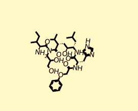 CCC(C)[C@H](N)C(=O)N(CC(O)CO)C(=O)[C@@H](C[C@H](O)[C@H](CC(C)C)NC(=O)[C@H](Cc1c[nH]cn1)NC(=O)COc1ccccc1)C(C)C